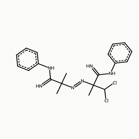 CC(C)(N=NC(C)(C(=N)Nc1ccccc1)C(Cl)Cl)C(=N)Nc1ccccc1